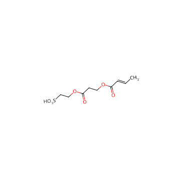 CC=CC(=O)OCCC(=O)OCCS(=O)(=O)O